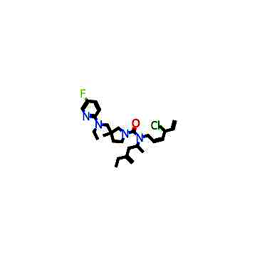 C=CC(Cl)/C=C\CN(C(=O)N1CCC(C)(CN(CC)c2ccc(F)cn2)C1)C(C)CC(=C)CC